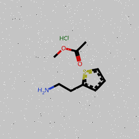 COC(C)=O.Cl.NCCc1cccs1